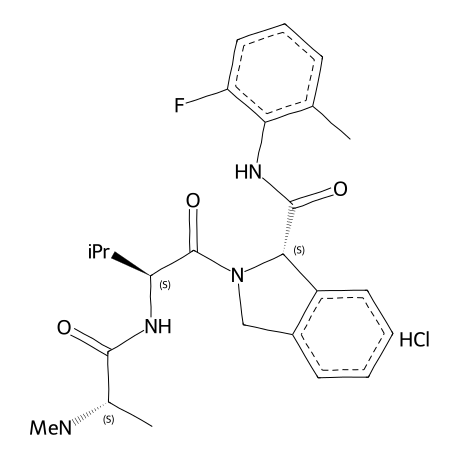 CN[C@@H](C)C(=O)N[C@H](C(=O)N1Cc2ccccc2[C@H]1C(=O)Nc1c(C)cccc1F)C(C)C.Cl